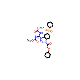 COC(=O)/N=C(/NC(=O)OC)Nc1cc(S(=O)(=O)c2ccccc2)ccc1NC(=O)COc1ccccc1